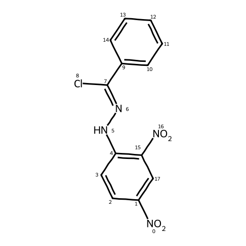 O=[N+]([O-])c1ccc(NN=C(Cl)c2ccccc2)c([N+](=O)[O-])c1